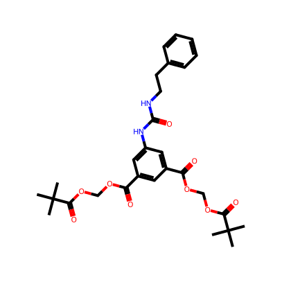 CC(C)(C)C(=O)OCOC(=O)c1cc(NC(=O)NCCc2ccccc2)cc(C(=O)OCOC(=O)C(C)(C)C)c1